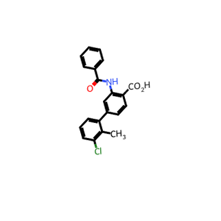 Cc1c(Cl)cccc1-c1ccc(C(=O)O)c(NC(=O)c2ccccc2)c1